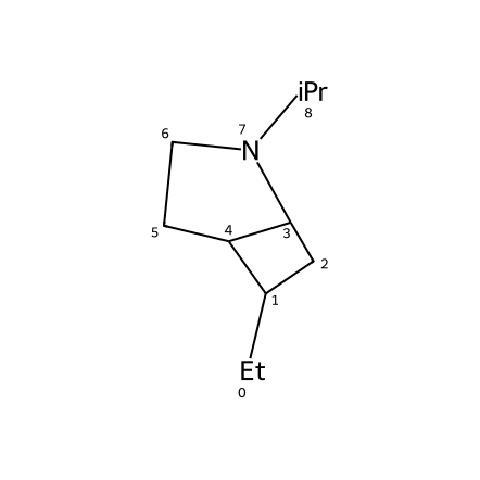 CCC1CC2C1CCN2C(C)C